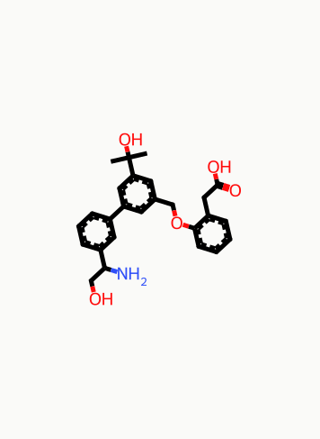 CC(C)(O)c1cc(COc2ccccc2CC(=O)O)cc(-c2cccc(C(N)CO)c2)c1